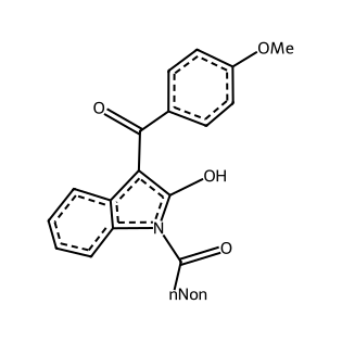 CCCCCCCCCC(=O)n1c(O)c(C(=O)c2ccc(OC)cc2)c2ccccc21